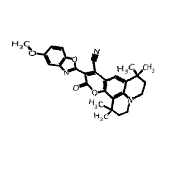 COc1ccc2oc(-c3c(C#N)c4cc5c6c(c4oc3=O)C(C)(C)CCN6CCC5(C)C)nc2c1